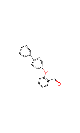 O=[C]c1ccccc1Oc1ccc(-c2ccccc2)cc1